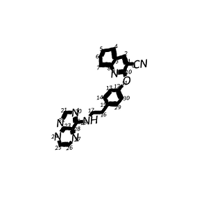 N#Cc1cc2ccccc2nc1Oc1ccc(CCNc2ncnc3nccnc23)cc1